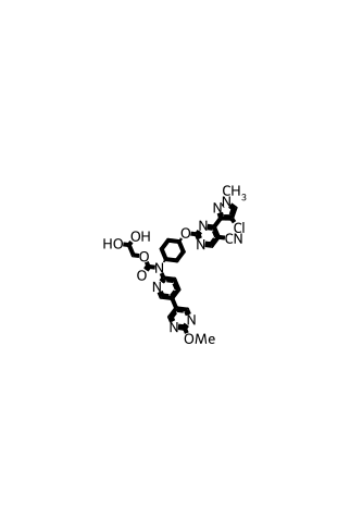 COc1ncc(-c2ccc(N(C(=O)OCC(O)O)[C@H]3CC[C@H](Oc4ncc(C#N)c(-c5nn(C)cc5Cl)n4)CC3)nc2)cn1